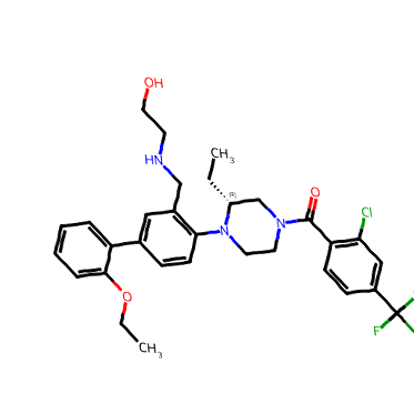 CCOc1ccccc1-c1ccc(N2CCN(C(=O)c3ccc(C(F)(F)F)cc3Cl)C[C@H]2CC)c(CNCCO)c1